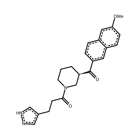 COc1ccc2cc(C(=O)[C@@H]3CCCN(C(=O)CCc4cn[nH]c4)C3)ccc2c1